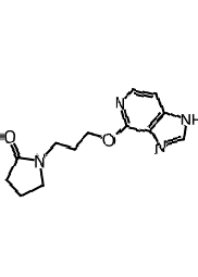 O=C1CCCN1CCCOc1nccc2[nH]cnc12